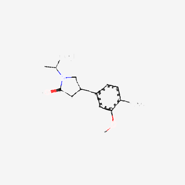 CCOc1cc(C2CC(=O)N(C(C)C(=O)O)C2)ccc1OC